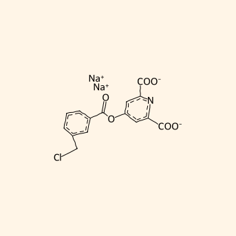 O=C(Oc1cc(C(=O)[O-])nc(C(=O)[O-])c1)c1cccc(CCl)c1.[Na+].[Na+]